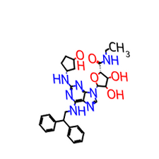 CCNC(=O)[C@H]1O[C@@H](n2cnc3c(NCC(c4ccccc4)c4ccccc4)nc(N[C@@H]4CC[C@@H](O)C4)nc32)[C@H](O)[C@@H]1O